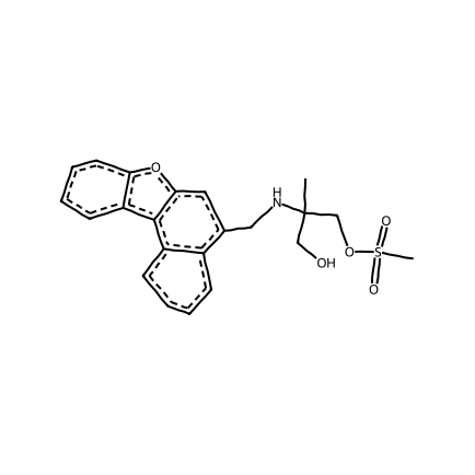 CC(CO)(COS(C)(=O)=O)NCc1cc2oc3ccccc3c2c2ccccc12